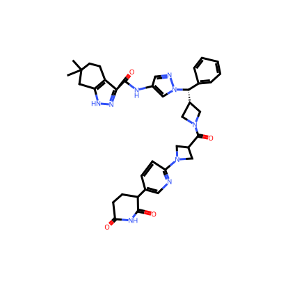 CC1(C)CCc2c(C(=O)Nc3cnn([C@H](c4ccccc4)C4CN(C(=O)C5CN(c6ccc(C7CCC(=O)NC7=O)cn6)C5)C4)c3)n[nH]c2C1